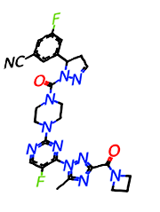 Cc1nc(C(=O)N2CCC2)nn1-c1nc(N2CCN(C(=O)N3N=CCC3c3cc(F)cc(C#N)c3)CC2)ncc1F